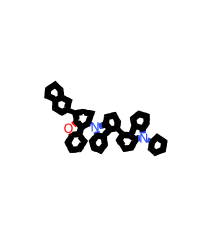 c1ccc(-n2c3ccccc3c3c(-c4cccc5c4c4ccccc4n5-c4ccc(-c5ccc6ccccc6c5)c5oc6ccccc6c45)cccc32)cc1